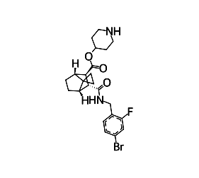 O=C(OC1CCNCC1)[C@H]1[C@H](C(=O)NCc2ccc(Br)cc2F)[C@@H]2CC[C@H]1C21CC1